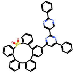 O=S1(=O)c2ccccc2-c2ccccc2-c2ccccc2-c2ccc(-c3cc(-c4ccccc4)nc(-c4cnc(-c5ccccc5)nc4)n3)cc2-c2ccccc21